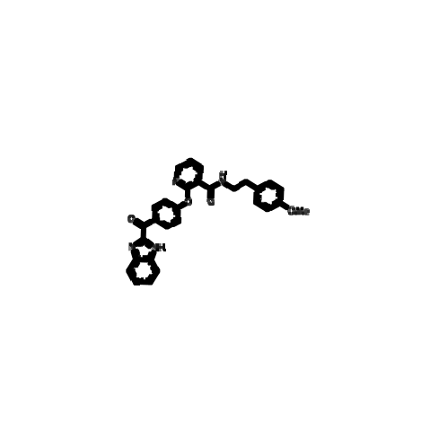 COc1ccc(CCNC(=O)c2cccnc2Oc2ccc(C(=O)c3nc4ccccc4[nH]3)cc2)cc1